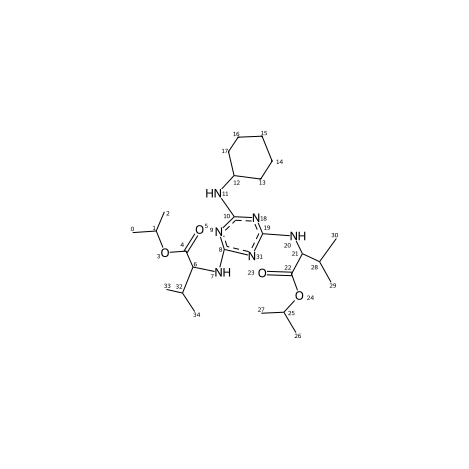 CC(C)OC(=O)C(Nc1nc(NC2CCCCC2)nc(NC(C(=O)OC(C)C)C(C)C)n1)C(C)C